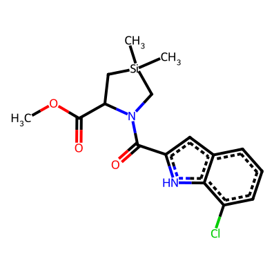 COC(=O)C1C[Si](C)(C)CN1C(=O)c1cc2cccc(Cl)c2[nH]1